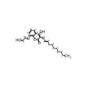 CCCCCCCCC=COc1c(O)c2cccc(OCCO)c2oc1=O